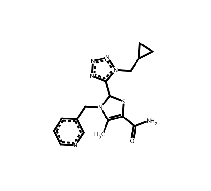 CC1=C(C(N)=O)SC(c2nnnn2CC2CC2)N1Cc1cccnc1